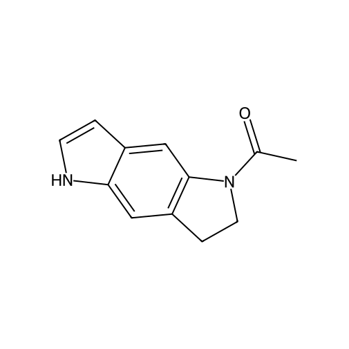 CC(=O)N1CCc2cc3[nH]ccc3cc21